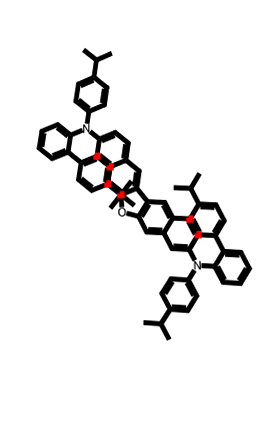 CC(C)c1ccc(-c2ccccc2N(c2ccc(C(C)C)cc2)c2ccc3cc4c(cc3c2)oc2cc3cc(N(c5ccc(C(C)C)cc5)c5ccccc5-c5ccc(C(C)(C)C)cc5)ccc3cc24)cc1